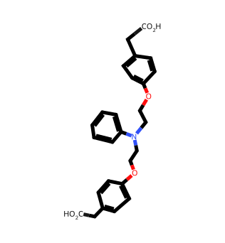 O=C(O)Cc1ccc(OCCN(CCOc2ccc(CC(=O)O)cc2)c2ccccc2)cc1